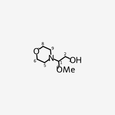 COC(CO)N1CCOCC1